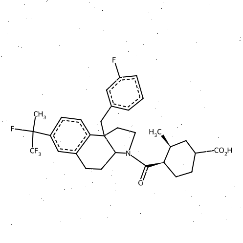 C[C@H]1CC(C(=O)O)CC[C@H]1C(=O)N1CCC2(Cc3cccc(F)c3)c3ccc(C(C)(F)C(F)(F)F)cc3CCC12